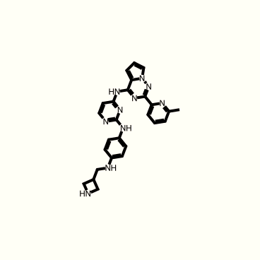 Cc1cccc(-c2nc(Nc3ccnc(Nc4ccc(NCC5CNC5)cc4)n3)c3cccn3n2)n1